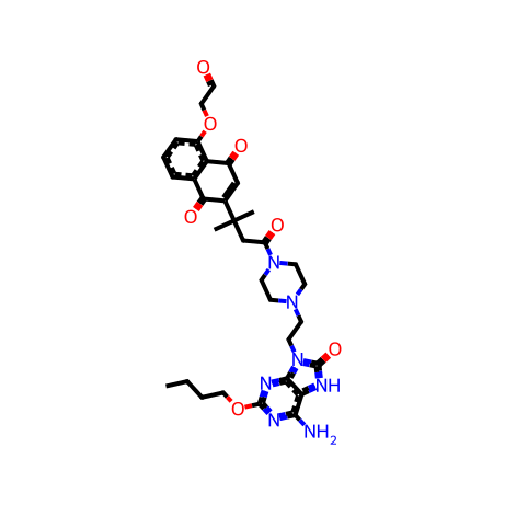 CCCCOc1nc(N)c2[nH]c(=O)n(CCN3CCN(C(=O)CC(C)(C)C4=CC(=O)c5c(OCC=O)cccc5C4=O)CC3)c2n1